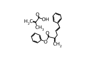 C=C(C)C(=O)O.C=C(CC=Cc1ccccc1)C(=O)Oc1ccccc1